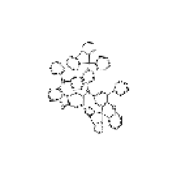 C1=CCC2C(=C1)C(c1ccccc1)(c1ccc(N(c3cc(-c4ccccc4)c4c(c3)C3(c5ccccc5O4)c4ccccc4-c4ccccc43)c3ccc4oc5cccc(N(c6ccccc6)c6ccccc6)c5c4c3)cc1)c1ccccc12